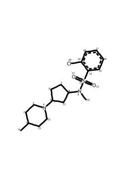 CC1CCN(C2CCC(N(C)S(=O)(=O)c3ccccc3Cl)C2)CC1